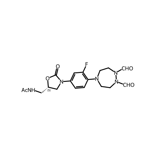 CC(=O)NC[C@H]1CN(c2ccc(N3CCN(C=O)N(C=O)CC3)c(F)c2)C(=O)O1